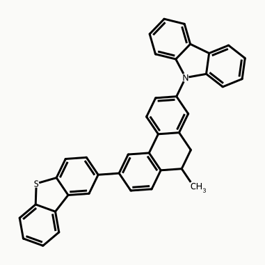 CC1Cc2cc(-n3c4ccccc4c4ccccc43)ccc2-c2cc(-c3ccc4sc5ccccc5c4c3)ccc21